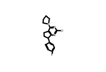 Fc1ccc(C2CCc3c2nc(Cl)nc3N2CCCC2)cc1